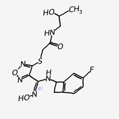 CC(O)CNC(=O)CSc1nonc1/C(=N\O)NC1Cc2ccc(F)cc21